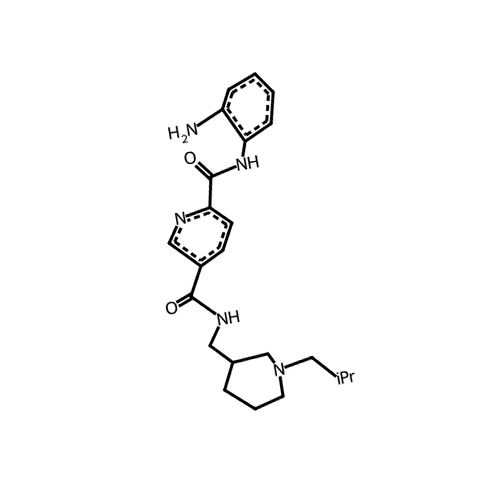 CC(C)CN1CCCC(CNC(=O)c2ccc(C(=O)Nc3ccccc3N)nc2)C1